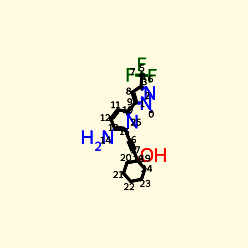 Cn1nc(C(F)(F)F)cc1-c1ccc(N)c(C#CC2(O)CCCCC2)n1